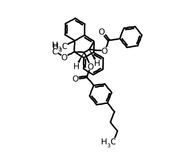 CCCCc1ccc(C(=O)O[C@H]2[C@@H](OC(=O)c3ccccc3)C3=C4C=CC=CC4(C)C2(OC)c2ccccc23)cc1